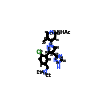 CCN(CC)Cc1ccc(Cl)c(-c2nn(-c3cc(NC(C)=O)ncc3C)cc2-c2nc[nH]n2)c1